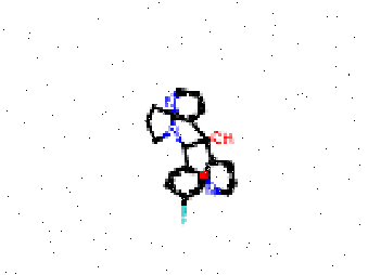 OC(c1cccnc1)(c1cccnc1)C(c1ccc(F)cc1)N1CCCC1